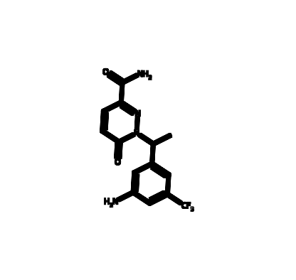 CC(c1cc(N)cc(C(F)(F)F)c1)n1nc(C(N)=O)ccc1=O